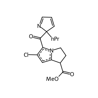 CCCC1(C(=O)c2c(Cl)cc3n2CCC3C(=O)OC)C=CC=N1